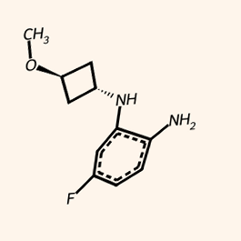 CO[C@H]1C[C@H](Nc2cc(F)ccc2N)C1